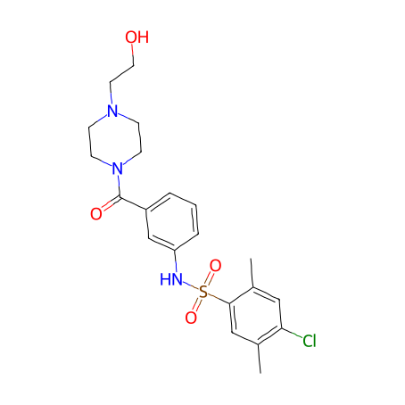 Cc1cc(S(=O)(=O)Nc2cccc(C(=O)N3CCN(CCO)CC3)c2)c(C)cc1Cl